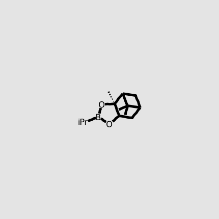 CC(C)B1OC2CC3CC(C3(C)C)[C@]2(C)O1